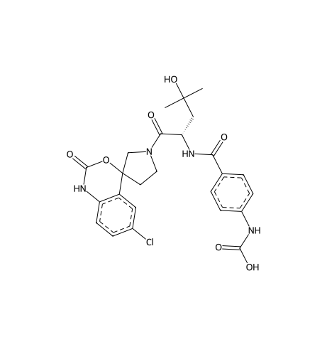 CC(C)(O)C[C@H](NC(=O)c1ccc(NC(=O)O)cc1)C(=O)N1CCC2(C1)OC(=O)Nc1ccc(Cl)cc12